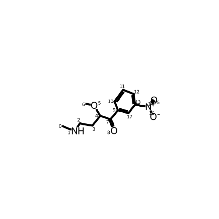 CNCCC(OC)C(=O)c1cccc([N+](=O)[O-])c1